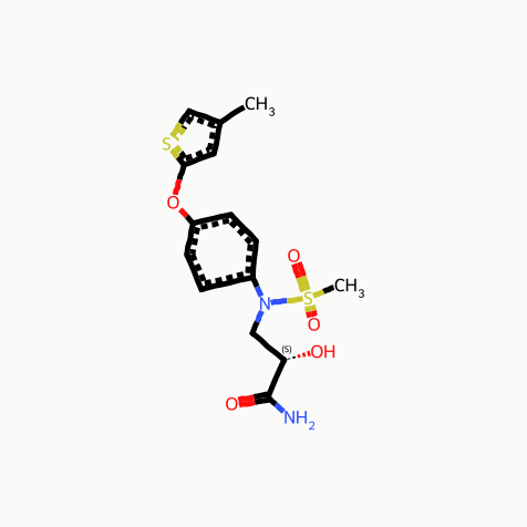 Cc1csc(Oc2ccc(N(C[C@H](O)C(N)=O)S(C)(=O)=O)cc2)c1